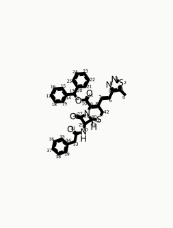 Cc1snnc1/C=C/C1=C(C(=O)OC(c2ccccc2)c2ccccc2)N2C(=O)C(NC(=O)Cc3ccccc3)[C@H]2SC1